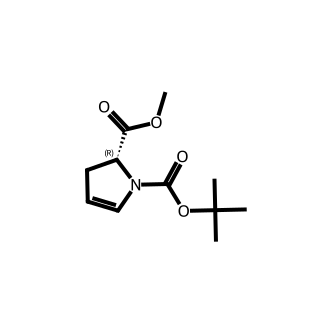 COC(=O)[C@H]1CC=CN1C(=O)OC(C)(C)C